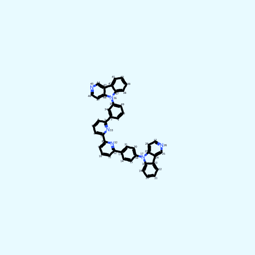 c1cc(-c2cccc(-c3cccc(-c4ccc(-n5c6ccccc6c6cnccc65)cc4)n3)n2)cc(-n2c3ccccc3c3cnccc32)c1